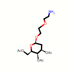 CC(=O)OC[C@H]1O[C@@H](OCCOCCN)C[C@@H](OC(C)=O)[C@H]1OC(C)=O